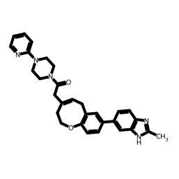 Cc1nc2ccc(-c3ccc4c(c3)C/C=C(/CC(=O)N3CCN(c5ccccn5)CC3)CCO4)cc2[nH]1